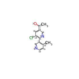 CC(=O)c1cnc(-c2cnccc2C)c(Cl)c1